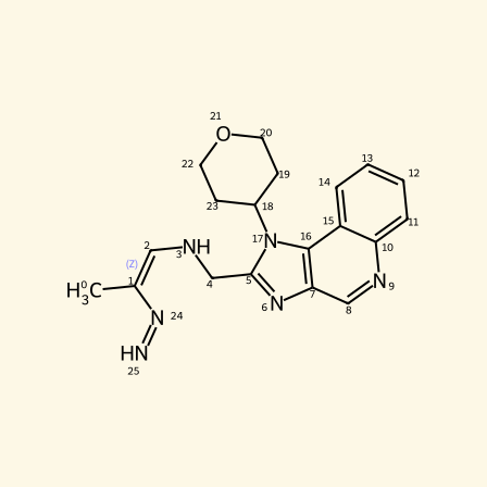 C/C(=C/NCc1nc2cnc3ccccc3c2n1C1CCOCC1)N=N